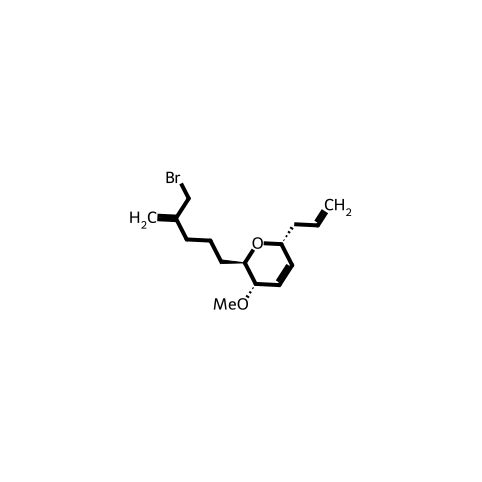 C=CC[C@@H]1C=C[C@H](OC)[C@@H](CCCC(=C)CBr)O1